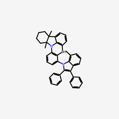 Cc1cccc2c(-c3ccccc3)c(-c3ccccc3)n(-c3cccc4c3Bc3cccc5c3N4C3(C)CCCCC53C)c12